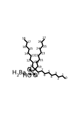 CCCCCCCCCC(CCCCCCCCC)(CCCCCCCCC)S(=O)(=O)O.[BaH2]